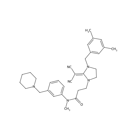 Cc1cc(C)cc(CN2CCN(CCC(=O)N(C)c3cccc(CN4CCCCC4)c3)C2=C(C#N)C#N)c1